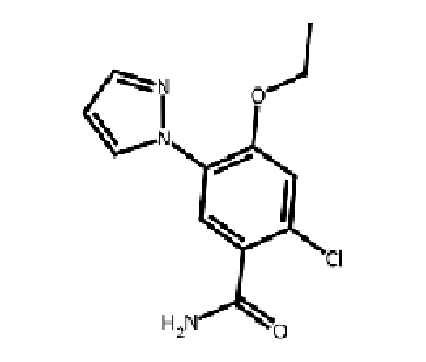 CCOc1cc(Cl)c(C(N)=O)cc1-n1cccn1